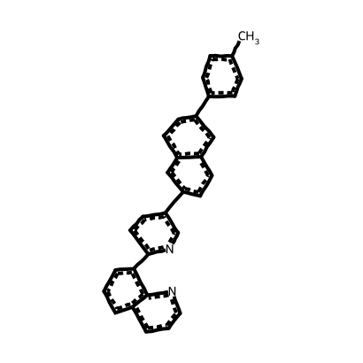 Cc1ccc(-c2ccc3cc(-c4ccc(-c5cccc6cccnc56)nc4)ccc3c2)cc1